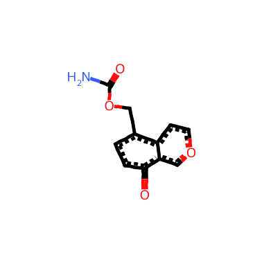 NC(=O)OCc1ccc(=O)c2coccc1-2